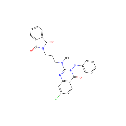 CCCN(CCCN1C(=O)c2ccccc2C1=O)c1nc2cc(Cl)ccc2c(=O)n1Nc1ccccc1